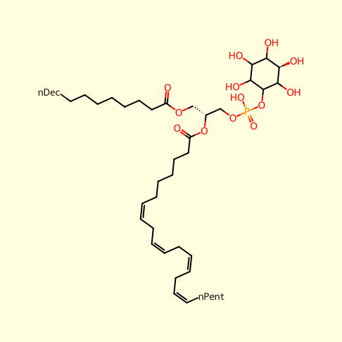 CCCCC/C=C\C/C=C\C/C=C\C/C=C\CCCCCC(=O)O[C@H](COC(=O)CCCCCCCCCCCCCCCCC)COP(=O)(O)OC1C(O)C(O)C(O)[C@@H](O)C1O